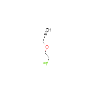 C#CCOCC[18F]